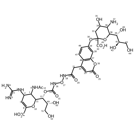 CC(=O)NC1C(NC(=N)N)C=C(C(=O)O)OC1[C@H](OC(=O)NONC(=O)Cc1cc(=O)oc2cc(OC3(C(=O)O)CC(O)C(N)C([C@H](O)[C@H](O)CO)O3)ccc12)[C@H](O)CO